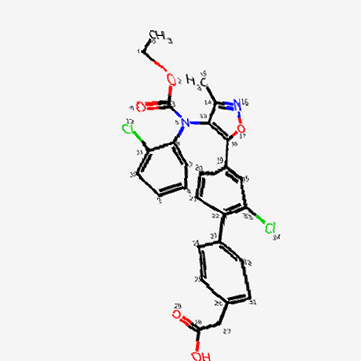 CCOC(=O)N(c1ccccc1Cl)c1c(C)noc1-c1ccc(-c2ccc(CC(=O)O)cc2)c(Cl)c1